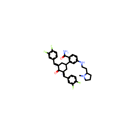 CN1CCCC1CCNc1ccc(C(N)=O)c(C2C/C(=C\c3ccc(F)c(F)c3)C(=O)/C(=C/c3ccc(F)c(F)c3)C2)c1